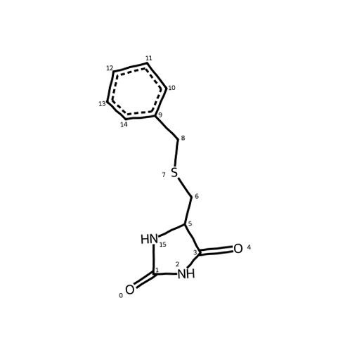 O=C1NC(=O)C(CSCc2ccccc2)N1